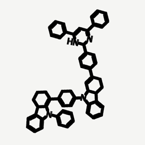 C1=C(C2=C3C(CCC2)c2ccccc2N3c2ccccc2)CCC(N2c3ccccc3C3CCC(c4ccc(C5N=C(c6ccccc6)C=C(c6ccccc6)N5)cc4)=CC32)=C1